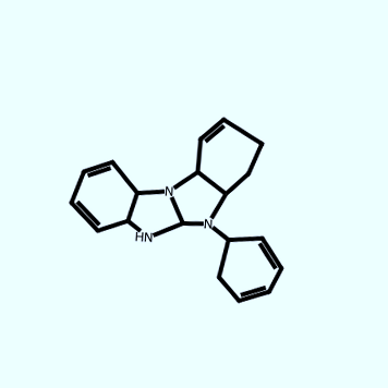 C1=CCC(N2C3CCC=CC3N3C4C=CC=CC4NC32)C=C1